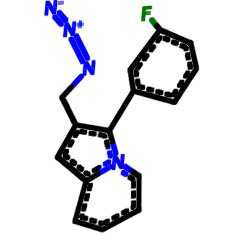 [N-]=[N+]=NCc1cc2ccccn2c1-c1cccc(F)c1